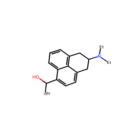 CCCC(O)c1ccc2c3c(cccc13)CC(N(CC)CC)C2